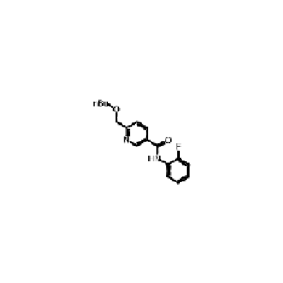 CCCCOCc1ccc(C(=O)Nc2ccccc2F)cn1